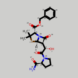 CC1(C)S[C@@H]2[C@H]([C@H](O)C(=O)N3CCC[C@H]3C(N)=O)C(=O)N2[C@H]1C(=O)OCc1ccccc1